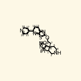 CC(C)C1CNCC[C@@]1(CCOc1nc2ccc(-c3ccncc3)nc2s1)c1cnno1